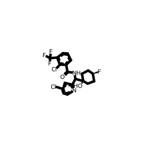 O=C(NC(c1cc(Cl)ccn1)[C@]1(O)CC[C@@H](F)CC1)c1cccc(C(F)(F)F)c1Cl